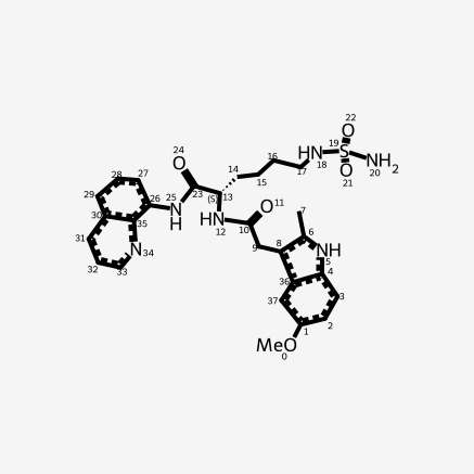 COc1ccc2[nH]c(C)c(CC(=O)N[C@@H](CCCCNS(N)(=O)=O)C(=O)Nc3cccc4cccnc34)c2c1